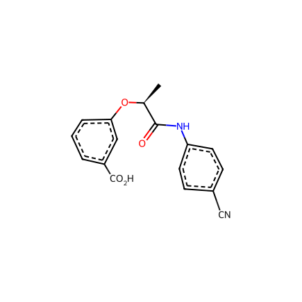 C[C@H](Oc1cccc(C(=O)O)c1)C(=O)Nc1ccc(C#N)cc1